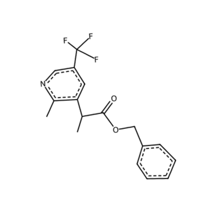 Cc1ncc(C(F)(F)F)cc1C(C)C(=O)OCc1ccccc1